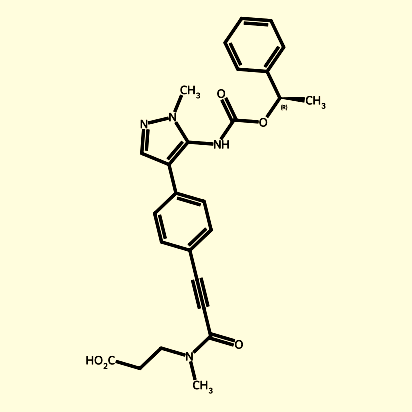 C[C@@H](OC(=O)Nc1c(-c2ccc(C#CC(=O)N(C)CCC(=O)O)cc2)cnn1C)c1ccccc1